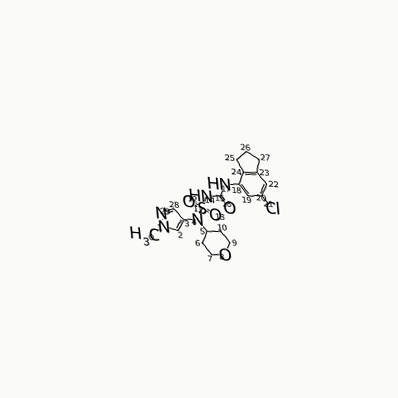 Cn1cc(N(C2CCOCC2)S(=O)(=O)NC(=O)Nc2cc(Cl)cc3c2CCC3)cn1